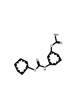 [NH]C(=O)Oc1cccc(NC(=O)Oc2ccccc2)c1